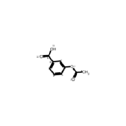 CC(=O)Oc1c[c]cc(C(=O)O)c1